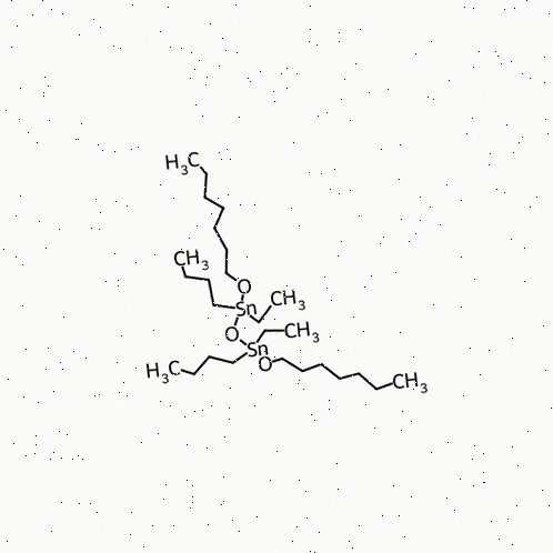 CCCCCCC[O][Sn]([CH2]C)([CH2]CCC)[O][Sn]([CH2]C)([CH2]CCC)[O]CCCCCCC